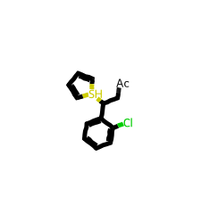 CC(=O)CC(c1ccccc1Cl)[SH]1C=CC=C1